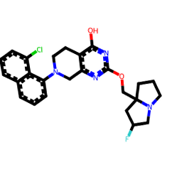 Oc1nc(OCC23CCCN2CC(F)C3)nc2c1CCN(c1cccc3cccc(Cl)c13)C2